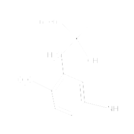 CCCCCC(C)(C)[SiH2]c1cc(N)ccc1C(=O)O